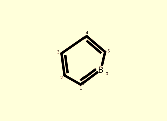 b1[c]cccc1